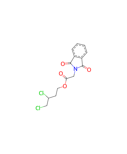 O=C(CN1C(=O)c2ccccc2C1=O)OCCC(Cl)CCl